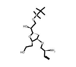 C=C[C@H](N)CO[C@@H]1C[C@@H]([C@@H](O)CO[Si](C)(C)C(C)(C)C)O[C@@H]1CCO